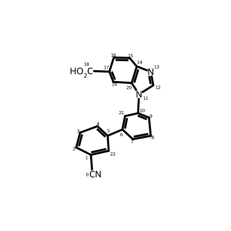 N#Cc1cccc(-c2cccc(-n3cnc4ccc(C(=O)O)cc43)c2)c1